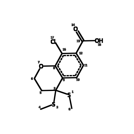 CSC1(SC)CCOc2c1ccc(C(=O)O)c2Cl